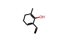 C=CC1=CC[CH]C(C)=C1O